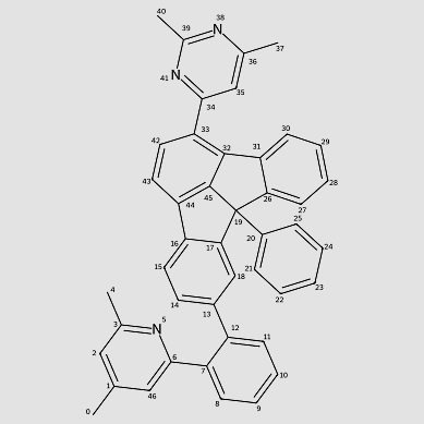 Cc1cc(C)nc(-c2ccccc2-c2ccc3c(c2)C2(c4ccccc4)c4ccccc4-c4c(-c5cc(C)nc(C)n5)ccc-3c42)c1